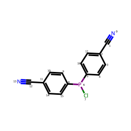 N#Cc1ccc(P(Cl)c2ccc(C#N)cc2)cc1